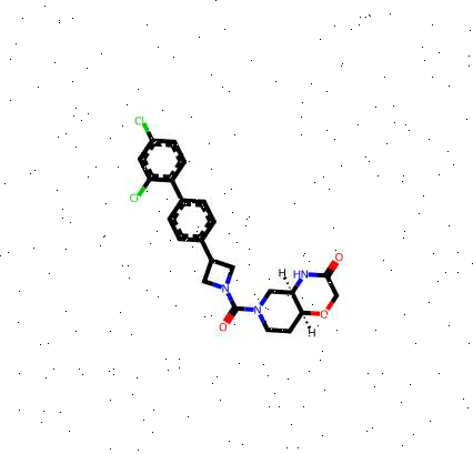 O=C1CO[C@H]2CCN(C(=O)N3CC(c4ccc(-c5ccc(Cl)cc5Cl)cc4)C3)C[C@H]2N1